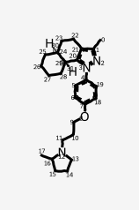 Cc1nn(-c2ccc(OCCCN3CCCC3C)cc2)c2c1CC[C@@H]1CCCC[C@@H]21